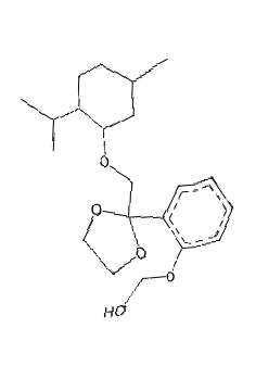 CC1CCC(C(C)C)C(OCC2(c3ccccc3OCO)OCCO2)C1